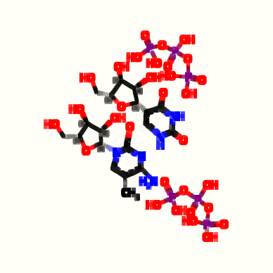 Cc1cn([C@@H]2O[C@H](CO)[C@@H](O)[C@H]2O)c(=O)nc1N.O=P(O)(O)OP(=O)(O)OP(=O)(O)O.O=P(O)(O)OP(=O)(O)OP(=O)(O)O.O=c1[nH]cc([C@@H]2O[C@H](CO)[C@@H](O)[C@H]2O)c(=O)[nH]1